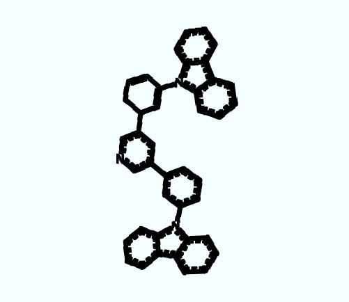 C1=CC(n2c3ccccc3c3ccccc32)=CC(c2cncc(-c3cccc(-n4c5ccccc5c5ccccc54)c3)c2)C1